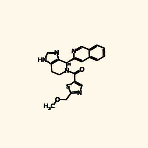 COCc1ncc(C(=O)N2CCc3[nH]cnc3[C@H]2c2cc3ccccc3cn2)s1